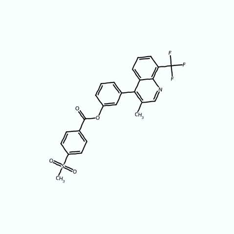 Cc1cnc2c(C(F)(F)F)cccc2c1-c1cccc(OC(=O)c2ccc(S(C)(=O)=O)cc2)c1